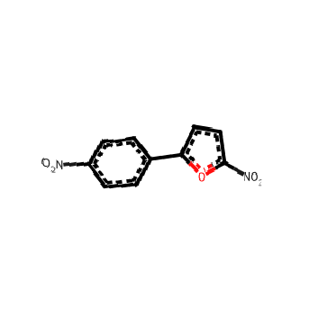 O=[N+]([O-])c1ccc(-c2ccc([N+](=O)[O-])o2)cc1